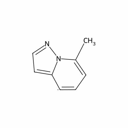 Cc1cc[c]c2ccnn12